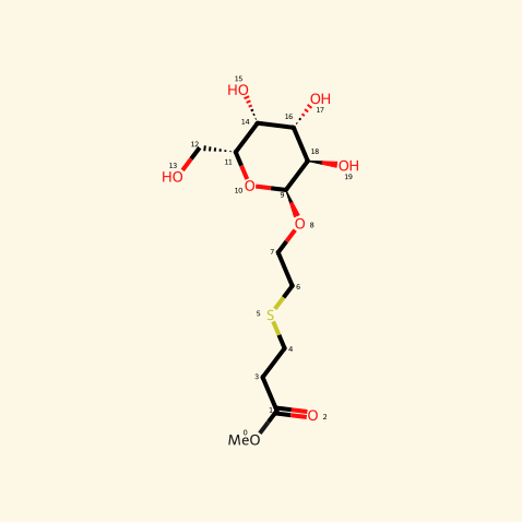 COC(=O)CCSCCO[C@H]1O[C@H](CO)[C@H](O)[C@H](O)[C@H]1O